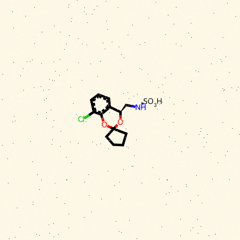 O=S(=O)(O)NC[C@H]1OC2(CCCC2)Oc2c(Cl)cccc21